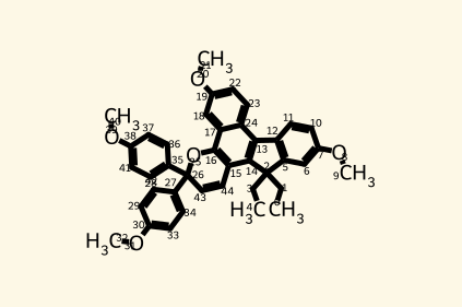 CCC1(CC)c2cc(OC)ccc2-c2c1c1c(c3cc(OC)ccc23)OC(c2ccc(OC)cc2)(c2ccc(OC)cc2)C=C1